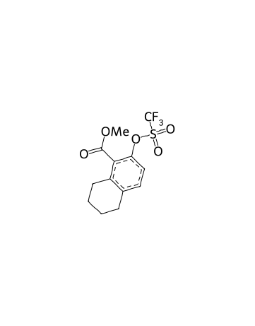 COC(=O)c1c(OS(=O)(=O)C(F)(F)F)ccc2c1CCCC2